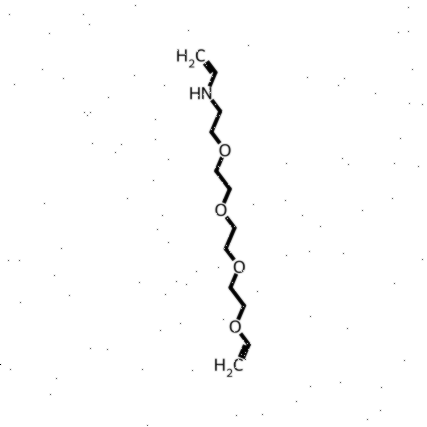 C=CNCCOCCOCCOCCOC=C